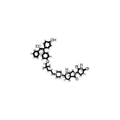 CC/C(=C(\c1ccc(O)cc1)c1ccc(OCC(F)(F)CCCN2CCN(C3CCC4C(=O)N(C5CCC(=O)NC5=O)CC4N3)CC2)cc1)c1ccccc1